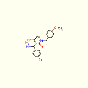 COc1ccc(CNC(=O)C2=C(C)NC(=S)NC2c2ccc(Cl)cc2)cc1